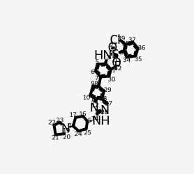 O=S(=O)(Nc1ccc(-c2ccc3nc(N[C@H]4CC[C@H](N5CCCC5)CC4)ncc3c2)cc1F)c1ccccc1Cl